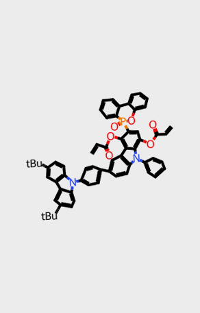 C=CC(=O)Oc1c(P2(=O)Oc3ccccc3-c3ccccc32)cc(OC(=O)C=C)c2c1c1cc(-c3ccc(-n4c5ccc(C(C)(C)C)cc5c5cc(C(C)(C)C)ccc54)cc3)ccc1n2-c1ccccc1